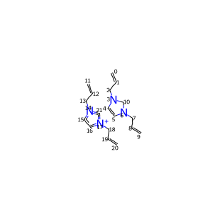 C=CCN1C=CN(CC=C)C1.C=CCn1cc[n+](CC=C)c1